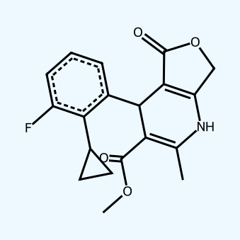 COC(=O)C1=C(C)NC2=C(C(=O)OC2)C1c1cccc(F)c1C1CC1